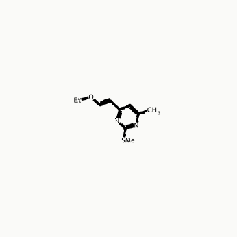 CCO/C=C/c1cc(C)nc(SC)n1